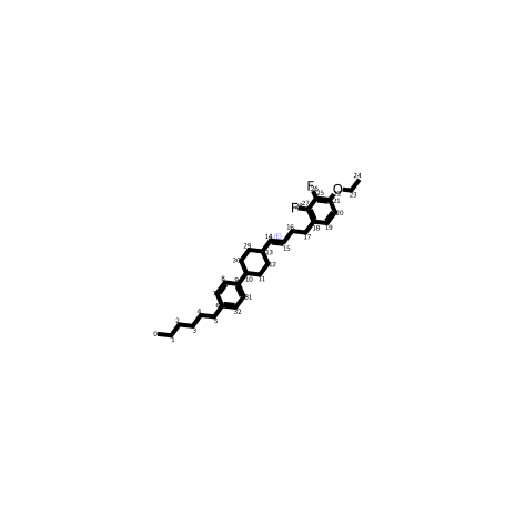 CCCCCCc1ccc(C2CCC(/C=C/CCc3ccc(OCC)c(F)c3F)CC2)cc1